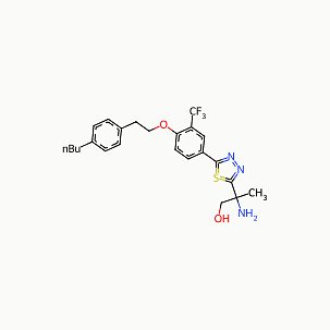 CCCCc1ccc(CCOc2ccc(-c3nnc(C(C)(N)CO)s3)cc2C(F)(F)F)cc1